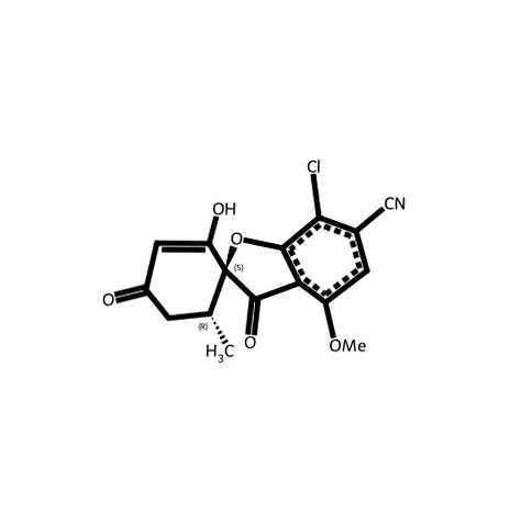 COc1cc(C#N)c(Cl)c2c1C(=O)[C@@]1(O2)C(O)=CC(=O)C[C@H]1C